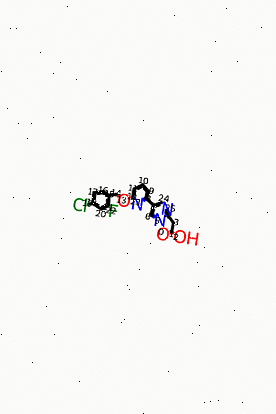 O=C(O)Cc1ncc(-c2cccc(OCc3ccc(Cl)cc3F)n2)cn1